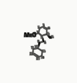 COC1CC=C[C@@H](C)[C@H]1CC[C@@H]1CC=CCC1